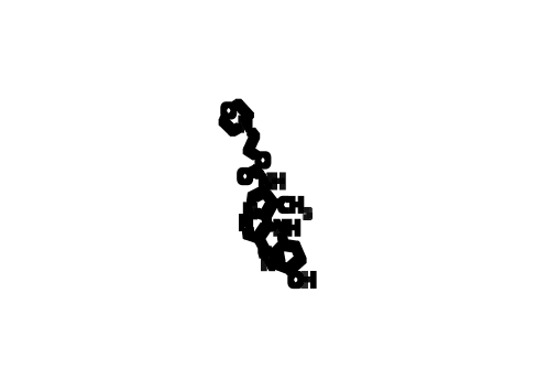 Cc1c(NC(=O)OCCN2CCOCC2)cn2ncc(C#N)c(Nc3ccc(O)cc3)c12